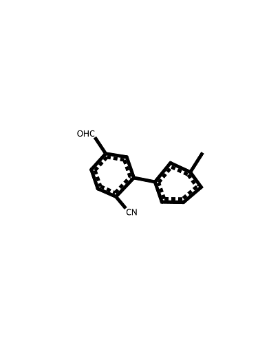 Cc1cccc(-c2cc(C=O)ccc2C#N)c1